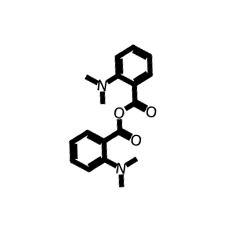 CN(C)c1ccccc1C(=O)OC(=O)c1ccccc1N(C)C